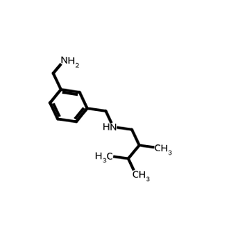 CC(C)C(C)CNCc1cccc(CN)c1